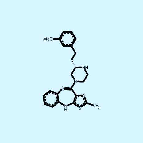 COc1cccc(CC[C@H]2CN(C3=Nc4ccccc4Nc4sc(C(F)(F)F)nc43)CCN2)c1